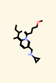 C=C(CCCOC)N1C=C(CNC2CC2)C=C/C1=C(\C)C(C)CC